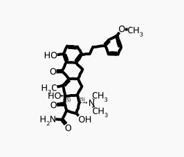 COc1cccc(CCc2ccc(O)c3c2CC2CC4[C@H](N(C)C)C(O)C(C(N)=O)C(=O)[C@@]4(O)C(C)=C2C3=O)c1